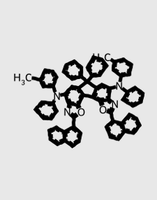 Cc1cccc(N(c2ccccc2)c2cc3c(c4oc(-c5cccc6ccccc56)nc24)-c2c(cc(N(c4ccccc4)c4cccc(C)c4)c4nc(-c5cccc6ccccc56)oc24)C3(c2ccccc2)c2ccccc2)c1